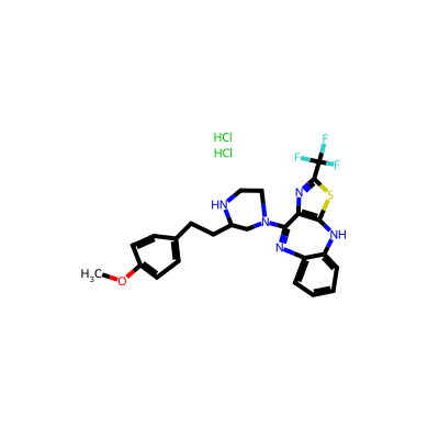 COc1ccc(CCC2CN(C3=Nc4ccccc4Nc4sc(C(F)(F)F)nc43)CCN2)cc1.Cl.Cl